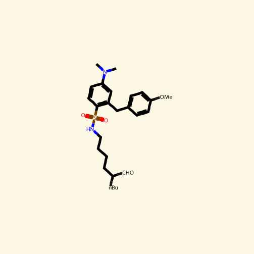 CCCCC(C=O)CCCCNS(=O)(=O)c1ccc(N(C)C)cc1Cc1ccc(OC)cc1